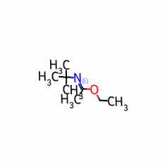 CCO/C(C)=N/C(C)(C)C